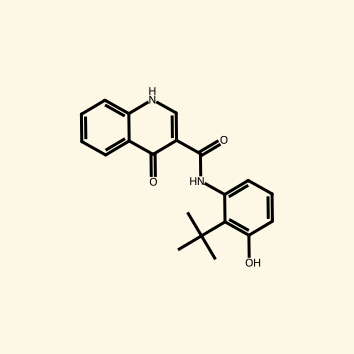 CC(C)(C)c1c(O)cccc1NC(=O)c1c[nH]c2ccccc2c1=O